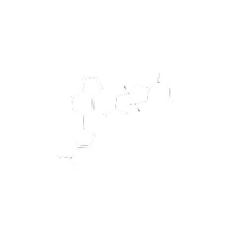 Cc1nc(-c2cnc3[nH]ccc3c2NC2C[C@@H]3CN(C(=O)[C@H](C)O)C[C@@H]3C2)sc1C(N)=O